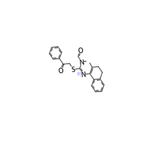 CC1=C(/N=C(/SCC(=O)c2ccccc2)N(C)C=O)c2ccccc2CC1